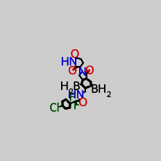 Bc1cc2c(c(B)c1CNC(=O)C(F)(F)c1ccc(Cl)cc1)CN(C1CCC(=O)NC1=O)C2=O